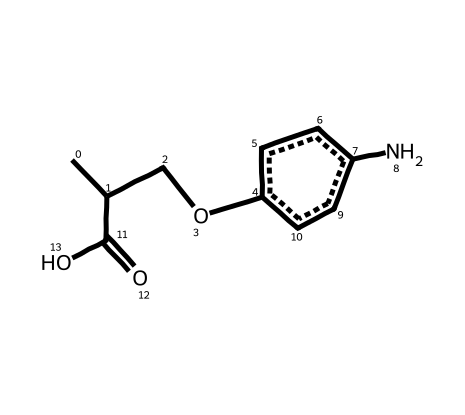 CC(COc1ccc(N)cc1)C(=O)O